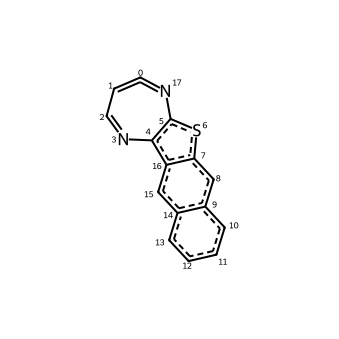 C1=CC=Nc2c(sc3cc4ccccc4cc23)N=1